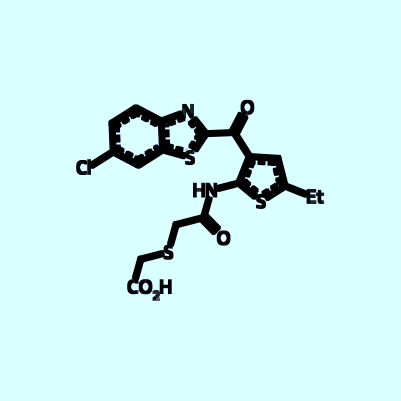 CCc1cc(C(=O)c2nc3ccc(Cl)cc3s2)c(NC(=O)CSCC(=O)O)s1